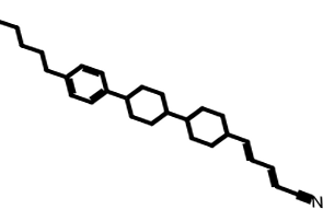 CCCCCc1ccc(C2CCC(C3CCC(C=CC=CC#N)CC3)CC2)cc1